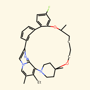 CCc1c(C)cn2cc3nc2c1N1CCC(C)(CC1)OCCCCC(C)Oc1cc(F)ccc1-c1cccc-3c1